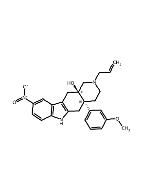 C=CCN1CC[C@@]2(c3cccc(OC)c3)Cc3[nH]c4ccc([N+](=O)[O-])cc4c3C[C@]2(O)C1